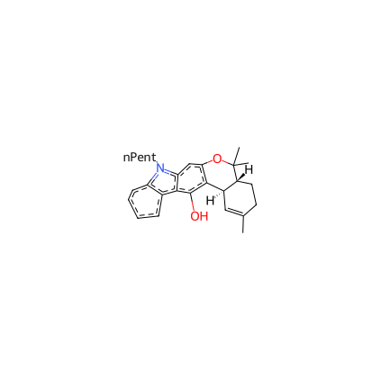 CCCCCn1c2ccccc2c2c(O)c3c(cc21)OC(C)(C)[C@@H]1CCC(C)=C[C@@H]31